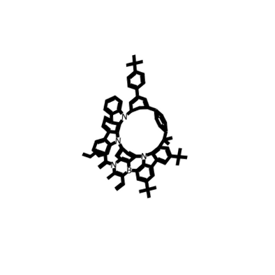 C=CC1=C(C)N(C(=C)/C=C\CC)c2cc3cc4c2B1c1cc(C(C)(C)C)cc2c5cc(C(C)(C)C)cc(c5n-4c12)C(C)(C)c1ccc(cc1)C1=CC(c2ccc(C(C)(C)C)cc2)=CC(C1)n1c2ccccc2c2ccc4c5ccccc5n-3c4c21